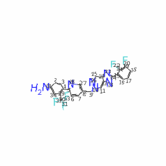 Nc1ccc(-c2ccc(Cn3cc4nc(-c5cccc(F)c5F)nc-4cn3)cn2)c(C(F)(F)F)c1